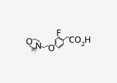 C[C@@H]1COCCN1CCOc1ccc(CC(=O)O)c(F)c1